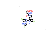 CCC(NC(=O)O)C(=O)N1CCCC1Cc1c(-c2nc3cc(F)ccc3n2C[C@@H]2C[C@H](F)CN2)[nH]c2cc(F)ccc12